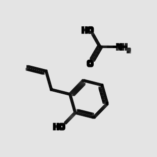 C=CCc1ccccc1O.NC(=O)O